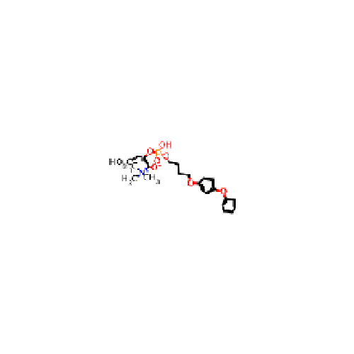 C[N+](C)(C)C([O-])[C@@H](CC(=O)O)OP(=O)(O)OCCCCOc1ccc(Oc2ccccc2)cc1